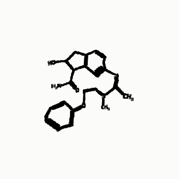 CC(=Nc1ccc2c(c1)C(C(N)=O)C(O)C2)N(C)CCOc1ccccc1